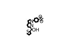 CS(=O)(=O)c1ccc(-n2ccc3ccc(C(O)c4cccs4)nc32)cc1